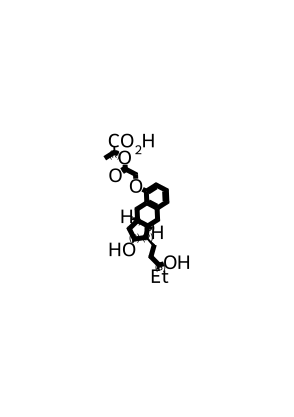 CC[C@H](O)CC[C@@H]1[C@H]2Cc3cccc(OCC(=O)O[C@H](C)C(=O)O)c3C[C@H]2C[C@H]1O